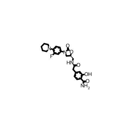 NC(=O)c1ccc(CC(=O)NC[C@H]2CN(c3ccc(N4CCCCC4)c(F)c3)C(=O)O2)cc1O